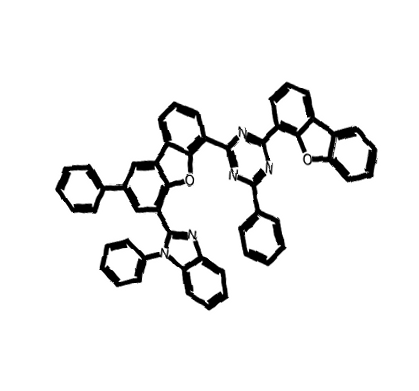 c1ccc(-c2cc(-c3nc4ccccc4n3-c3ccccc3)c3oc4c(-c5nc(-c6ccccc6)nc(-c6cccc7c6oc6ccccc67)n5)cccc4c3c2)cc1